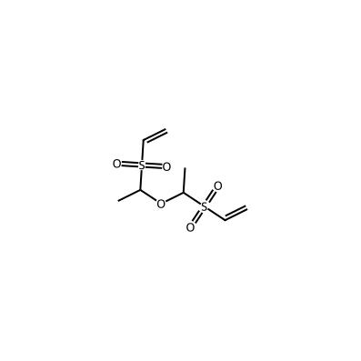 C=CS(=O)(=O)C(C)OC(C)S(=O)(=O)C=C